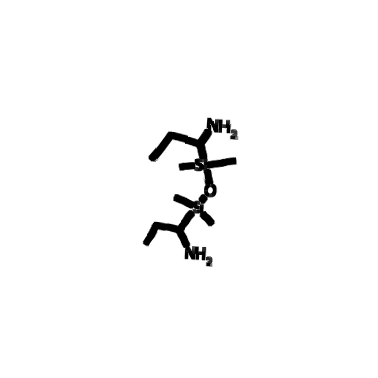 CCC(N)[Si](C)(C)O[Si](C)(C)C(N)CC